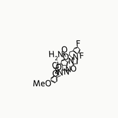 COc1ccc(CN(c2nn(C)c3c(-n4c(C(Cc5cc(F)cc(F)c5)OC(N)=O)nccc4=O)ccc(Cl)c23)S(C)(=O)=O)cc1